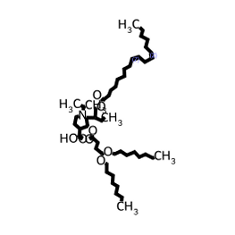 CCCCC/C=C\C/C=C\CCCCCCCC(=O)OCC(CC)C1C(OC(=O)CCC(OCCCCCCCC)OCCCCCCCC)C(C(=O)O)CCN1C(C)C